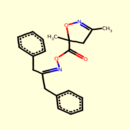 CC1=NOC(C)(C(=O)ON=C(Cc2ccccc2)Cc2ccccc2)C1